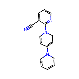 N#Cc1cccnc1N1C=CC(N2C=CC=CC2)=CC1